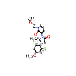 COCCn1cccc(N2C(=O)C[C@H](c3c(F)cc(OC)cc3F)[C@@H]2C)c1=O